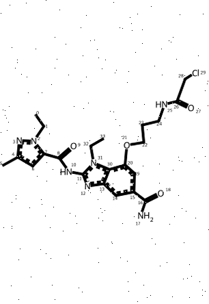 CCn1nc(C)cc1C(=O)Nc1nc2cc(C(N)=O)cc(OCCCNC(=O)CCl)c2n1CC